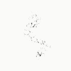 CC(=O)N1CC(C)(C)c2ccc(NC(=O)c3ccc(C)c(-c4ccc5nc(NC6CCN(C)CC6)ncc5c4)c3)cc21